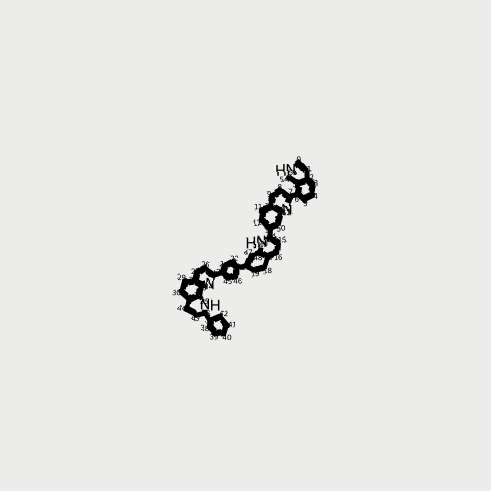 C1=Cc2cccc(-c3ccc4ccc(C5=CC=C6C=CC(c7ccc(-c8ccc9ccc%10c(c9n8)NC(c8ccccc8)C=C%10)cc7)=CC6N5)cc4n3)c2CN1